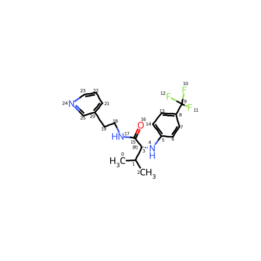 CC(C)[C@@H](Nc1ccc(C(F)(F)F)cc1)C(=O)NCCc1cccnc1